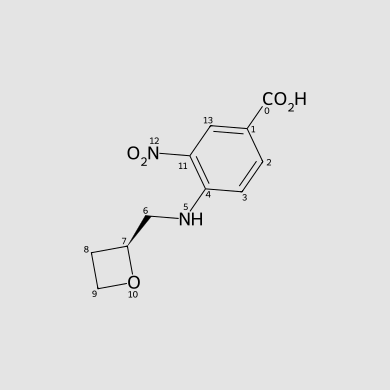 O=C(O)c1ccc(NC[C@@H]2CCO2)c([N+](=O)[O-])c1